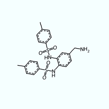 Cc1ccc(S(=O)(=O)Nc2ccc(CN)cc2NS(=O)(=O)c2ccc(C)cc2)cc1